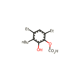 CCCCc1c(CC)cc(CC)c(OC(=O)O)c1O